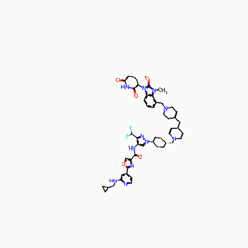 Cn1c(=O)n(C2CCC(=O)NC2=O)c2cccc(CN3CCC(CC4CCN(C[C@H]5CC[C@H](n6cc(NC(=O)c7coc(-c8ccnc(NCC9CC9)c8)n7)c(C(F)F)n6)CC5)CC4)CC3)c21